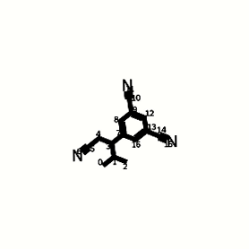 CC(C)C(CC#N)c1cc(C#N)cc(C#N)c1